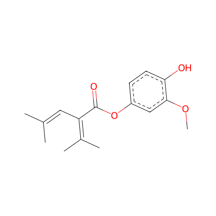 COc1cc(OC(=O)C(C=C(C)C)=C(C)C)ccc1O